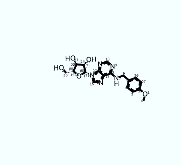 COc1ccc(CNc2ncnc3c2ncn3[C@@H]2O[C@H](CO)[C@@H](O)[C@H]2O)cc1